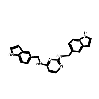 c1cc(NCc2ccc3[nH]ccc3c2)nc(NCc2ccc3[nH]ccc3c2)n1